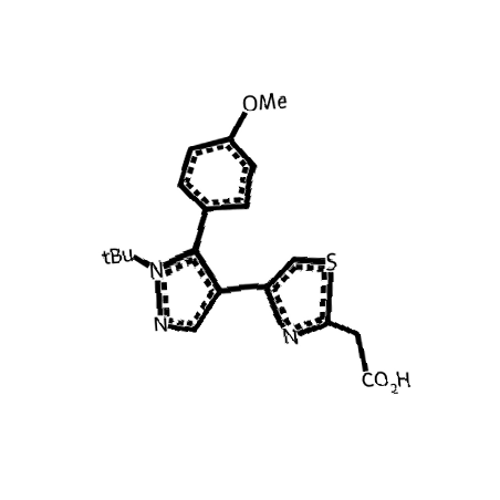 COc1ccc(-c2c(-c3csc(CC(=O)O)n3)cnn2C(C)(C)C)cc1